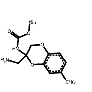 CC(C)(C)OC(=O)NC1(CN)COc2ccc(C=O)cc2O1